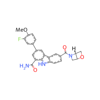 COc1ccc(-c2cc(C(N)=O)c3[nH]c4ccc(C(=O)N5CC6OC[C@H]65)cc4c3c2)cc1F